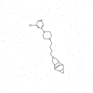 Clc1cncc(N2CCN(CCCCN3CC4=C5C=CC(C4C3)C3CC53)CC2)n1